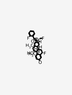 C[C@]12C=CC(=O)C=C1[C@@H](F)C[C@H]1[C@@H]3C[C@H]4OC(c5ccccc5F)O[C@@]4(C(=O)SCF)[C@@]3(C)C[C@H](O)[C@@]12F